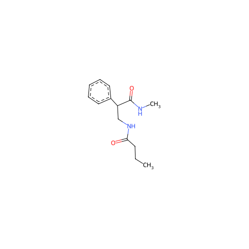 CCCC(=O)NCC(C(=O)NC)c1ccccc1